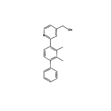 Cc1c(-c2ccccc2)ccc(-c2cc(CO)ccn2)c1C